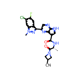 C[C@@H](NC(=O)c1c[nH]c2ncc(-c3nn(C)c4cc(Cl)c(F)cc34)nc12)C(=O)N1CC(C#N)C1